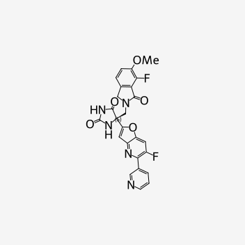 COc1ccc2c(c1F)C(=O)N(C[C@@]1(c3cc4nc(-c5cccnc5)c(F)cc4o3)NC(=O)NC1=O)C2